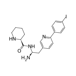 N[C@H](Cc1ccc(-c2ccc(I)cc2)nc1)NC(=O)[C@@H]1CCCCN1